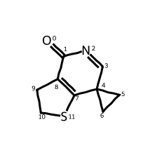 O=C1N=CC2(CC2)C2=C1CCS2